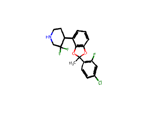 CC1(c2ccc(Cl)cc2F)Oc2cccc(C3CCNCC3(F)F)c2O1